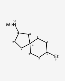 CCC1CCC2(CC1)CCC(NC)C2